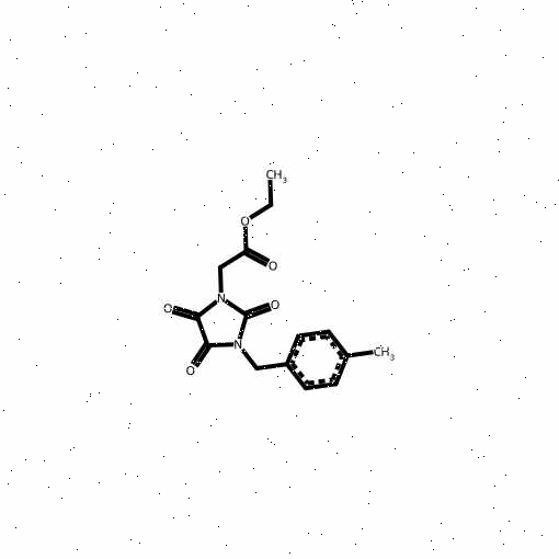 CCOC(=O)CN1C(=O)C(=O)N(Cc2ccc(C)cc2)C1=O